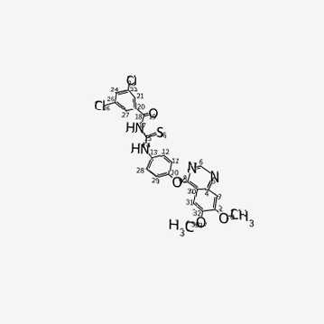 COc1cc2ncnc(Oc3ccc(NC(=S)NC(=O)c4cc(Cl)cc(Cl)c4)cc3)c2cc1OC